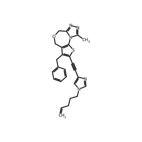 C=CCCCn1cnc(C#Cc2sc3c(c2Cc2ccccc2)COCc2nnc(C)n2-3)c1